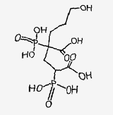 O=C(O)C(CC(CCCO)(C(=O)O)P(=O)(O)O)P(=O)(O)O